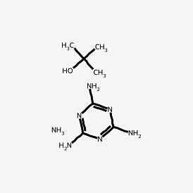 CC(C)(C)O.N.Nc1nc(N)nc(N)n1